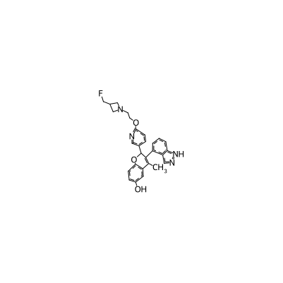 CC1=C(c2cccc3[nH]ncc23)C(c2ccc(OCCN3CC(CF)C3)nc2)Oc2ccc(O)cc21